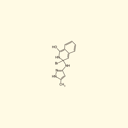 Cc1cc(NC2(Br)C=c3ccccc3=C(O)N2)n[nH]1